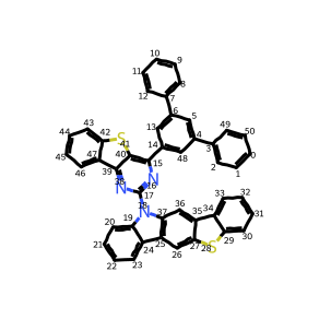 c1ccc(-c2cc(-c3ccccc3)cc(-c3nc(-n4c5ccccc5c5cc6sc7ccccc7c6cc54)nc4c3sc3ccccc34)c2)cc1